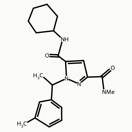 CNC(=O)c1cc(C(=O)NC2CCCCC2)n(C(C)c2cccc(C)c2)n1